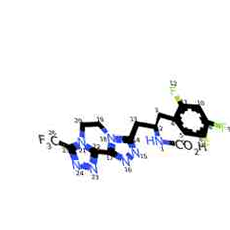 O=C(O)N[C@H](Cc1cc(F)c(F)cc1F)Cc1nnc2n1CCn1c-2nnc1C(F)(F)F